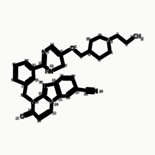 CCCN1CCC(COC2=CN=C(c3cccc(Cn4c(=O)ccn5c6cc(C#N)ccc6nc45)c3)NC2)CC1